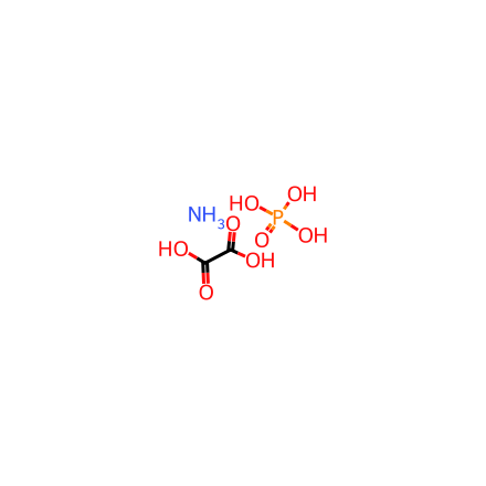 N.O=C(O)C(=O)O.O=P(O)(O)O